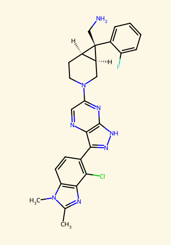 Cc1nc2c(Cl)c(-c3n[nH]c4nc(N5CC[C@@H]6[C@H](C5)[C@@]6(CN)c5ccccc5F)cnc34)ccc2n1C